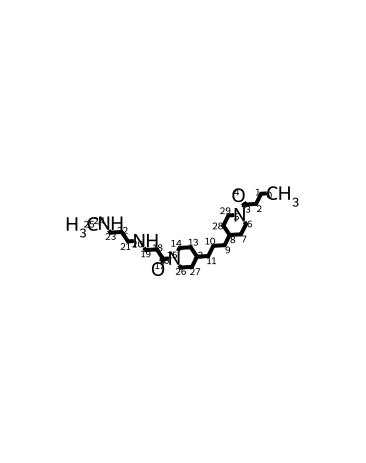 CCCC(=O)N1CCC(CCCC2CCN(C(=O)CCNCCCNC)CC2)CC1